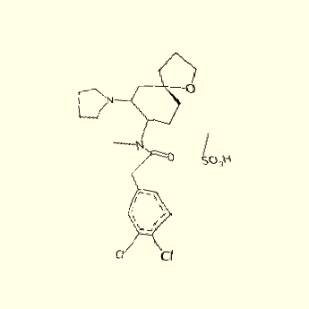 CN(C(=O)Cc1ccc(Cl)c(Cl)c1)C1CC[C@]2(CCCO2)CC1N1CCCC1.CS(=O)(=O)O